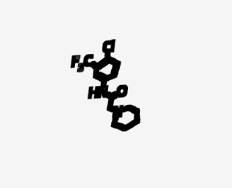 O=C(CN1CCCCC1)Nc1ccc(Cl)c(C(F)(F)F)c1